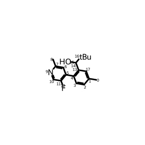 Cc1ccc(-c2cc(C)ncc2F)c(C(O)C(C)(C)C)c1